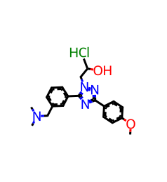 COc1ccc(-c2nc(-c3cccc(CN(C)C)c3)n(CC(C)O)n2)cc1.Cl